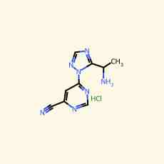 CC(N)c1ncnn1-c1cc(C#N)ncn1.Cl